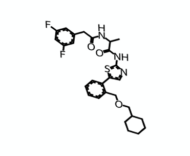 CC(NC(=O)Cc1cc(F)cc(F)c1)C(=O)Nc1ncc(-c2ccccc2COCC2CCCCC2)s1